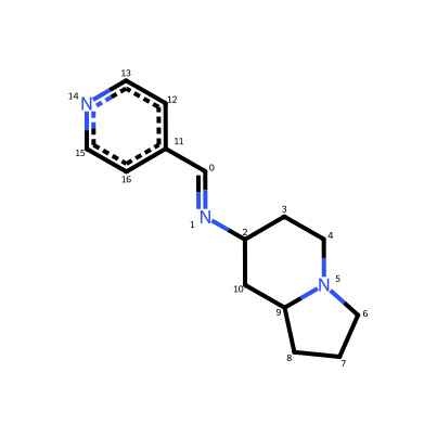 C(=NC1CCN2CCCC2C1)c1ccncc1